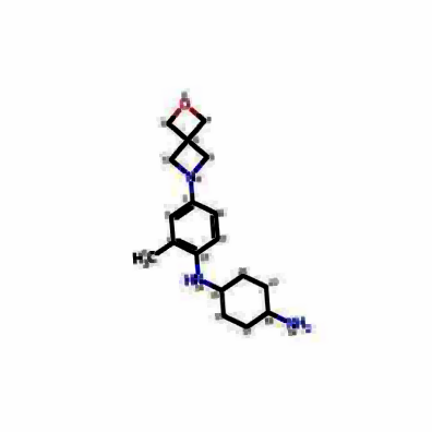 Cc1cc(N2CC3(COC3)C2)ccc1NC1CCC(N)CC1